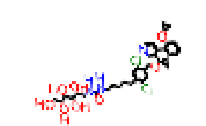 O=C(NCCCCCc1cc(Cl)c(COC2(c3cnccc3-c3ccccc3OC3CC3)CC2)cc1Cl)NCC(O)C(O)C(O)C(O)CO